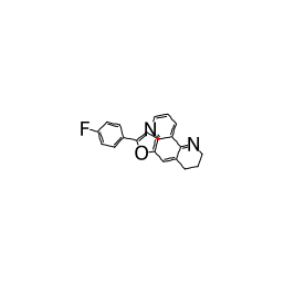 Fc1ccc(-c2ccc(/C=C3/CCCN=C3c3cccnc3)o2)cc1